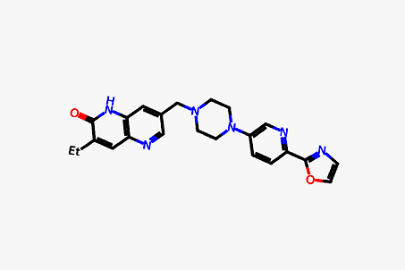 CCc1cc2ncc(CN3CCN(c4ccc(-c5ncco5)nc4)CC3)cc2[nH]c1=O